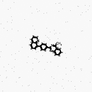 Cc1nc(-c2ccc(-c3cccc4cccnc34)cc2)nc2ccccc12